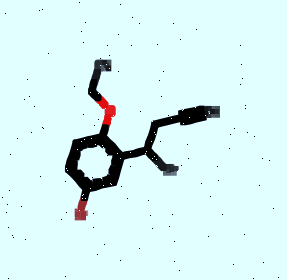 C#CCC(c1cc(Br)ccc1OCC#N)C(C)C